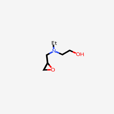 CCN(CCO)CC1CO1